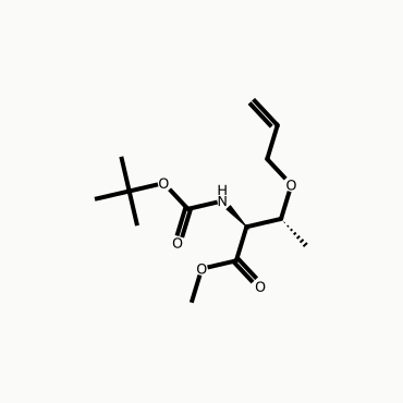 C=CCO[C@H](C)[C@H](NC(=O)OC(C)(C)C)C(=O)OC